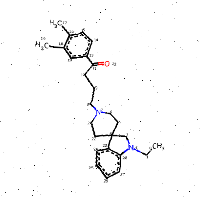 CCN1CC2(CCN(CCCC(=O)c3ccc(C)c(C)c3)CC2)c2ccccc21